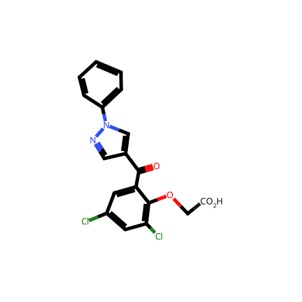 O=C(O)COc1c(Cl)cc(Cl)cc1C(=O)c1cnn(-c2ccccc2)c1